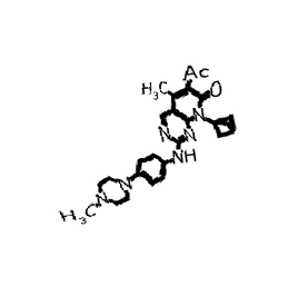 CC(=O)c1c(C)c2cnc(Nc3ccc(N4CCN(C)CC4)cc3)nc2n(C23CC(C2)C3)c1=O